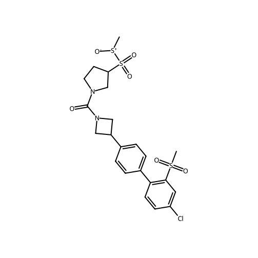 C[S+]([O-])S(=O)(=O)C1CCN(C(=O)N2CC(c3ccc(-c4ccc(Cl)cc4S(C)(=O)=O)cc3)C2)C1